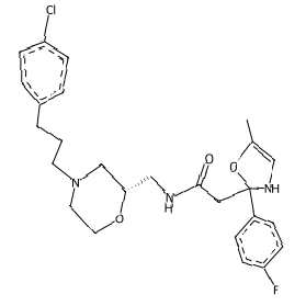 CC1=CNC(CC(=O)NC[C@H]2CN(CCCc3ccc(Cl)cc3)CCO2)(c2ccc(F)cc2)O1